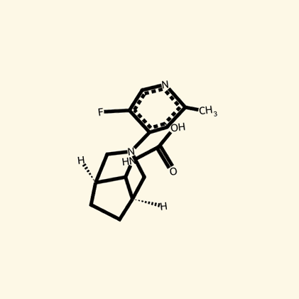 Cc1cc(N2C[C@H]3CC[C@@H](C2)C3NC(=O)O)c(F)cn1